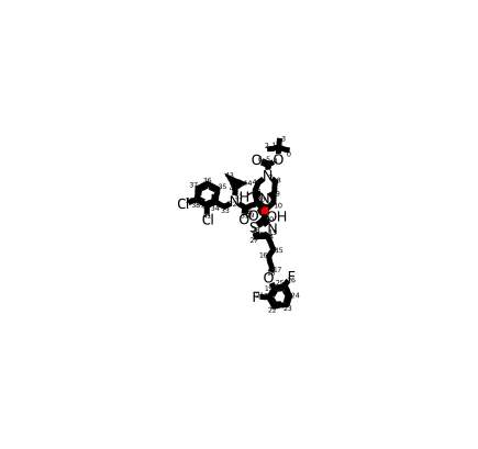 CC(C)(C)OC(=O)N1CC2CC(c3nc(CCCOc4c(F)cccc4F)cs3)=C(C(=O)N(Cc3cccc(Cl)c3Cl)C3CC3)[C@@H](C1)N2C(=O)O